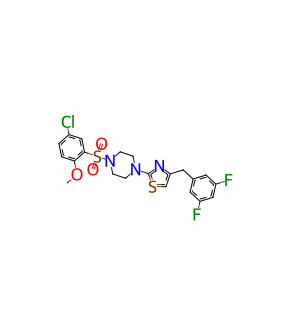 COc1ccc(Cl)cc1S(=O)(=O)N1CCN(c2nc(Cc3cc(F)cc(F)c3)cs2)CC1